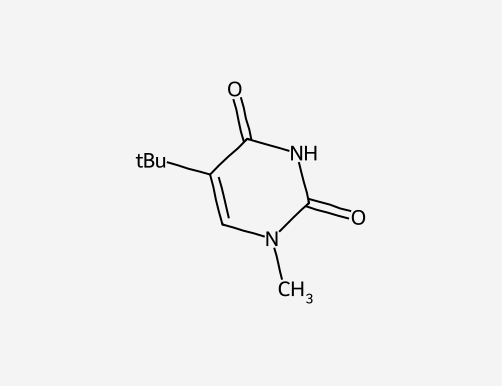 Cn1cc(C(C)(C)C)c(=O)[nH]c1=O